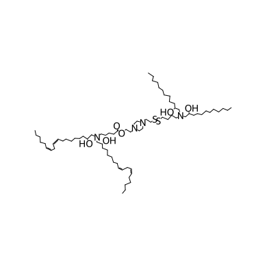 CCCCC/C=C\C/C=C\CCCCCCC(O)CN(CCCCC(=O)OCCN1CCN(CCSSCCCCN(CC(O)CCCCCCCCCC)CC(O)CCCCCCCCCC)CC1)CC(O)CCCCCC/C=C\C/C=C\CCCCC